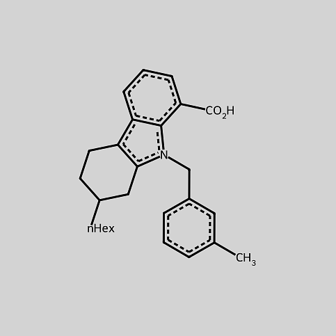 CCCCCCC1CCc2c(n(Cc3cccc(C)c3)c3c(C(=O)O)cccc23)C1